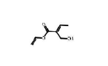 C=COC(=O)C(=CC)CO